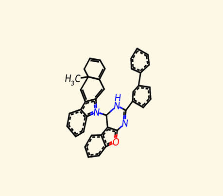 CC12C=c3c(n(C4NC(c5cccc(-c6ccccc6)c5)=Nc5oc6ccccc6c54)c4ccccc34)=CC1=CC=CC2